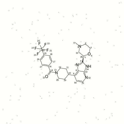 CN1CCO[C@@H](c2nc3c(C4CCN(C(=O)c5ccc(S(F)(F)(F)(F)F)cc5)CC4)ccnc3[nH]2)C1